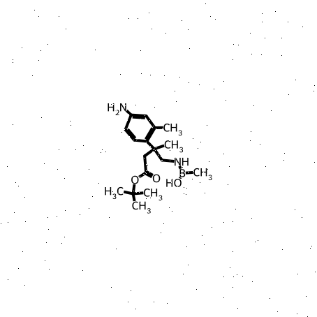 CB(O)NCC(C)(CC(=O)OC(C)(C)C)c1ccc(N)cc1C